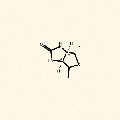 CC1SC[C@@H]2NC(=O)N[C@H]12